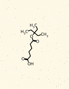 CCC(CC)(CC)OC(=O)CCCCC(=O)O